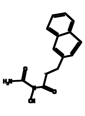 N#CN(C(N)=O)C(=O)[CH]Cc1ccc2ccccc2c1